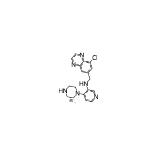 C[C@@H]1CNCCN1c1ccncc1NCc1cc(Cl)c2nccnc2c1